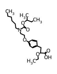 CCCCCCN(CCOc1ccc(CC(OCC)C(=O)O)cc1)C(=O)OC(C)CC